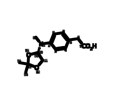 CN(c1ccc(CC(=O)O)cc1)[C@@H]1COC(C)(C)O1